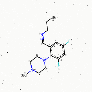 CC(C)(C)CC/N=C\c1cc(F)cc(F)c1N1CCN(C(C)(C)C)CC1